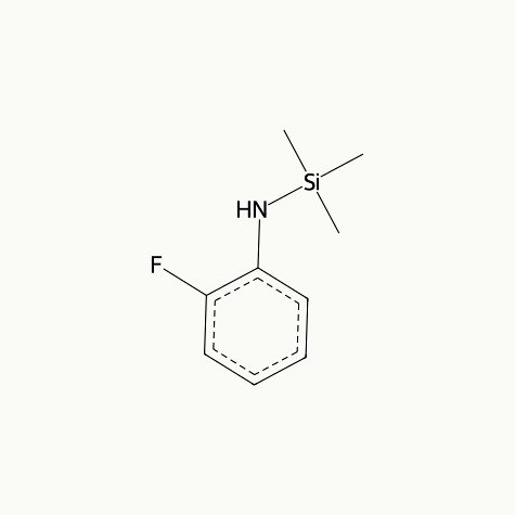 C[Si](C)(C)Nc1ccccc1F